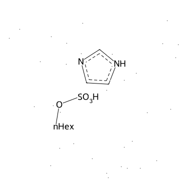 CCCCCCOS(=O)(=O)O.c1c[nH]cn1